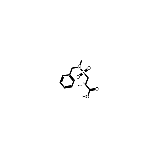 C[C@H](CS(=O)(=O)N(C)Cc1ccccc1)C(=O)O